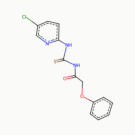 O=C(COc1ccccc1)NC(=S)Nc1ccc(Cl)cn1